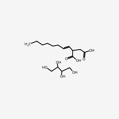 CCCCCCC=CC(CC(=O)O)C(=O)O.OCC(O)C(O)CO